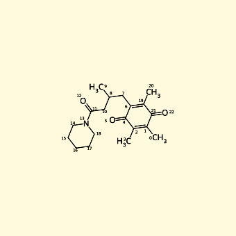 CC1=C(C)C(=O)C(CC(C)CC(=O)N2CCCCC2)=C(C)C1=O